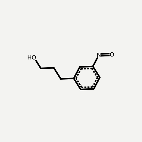 O=Nc1cccc(CCCO)c1